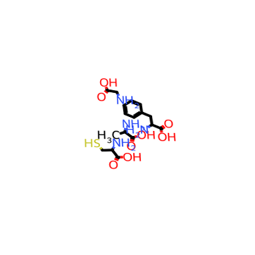 CC(N)C(=O)O.NC(CS)C(=O)O.NC(Cc1ccccc1)C(=O)O.NCC(=O)O